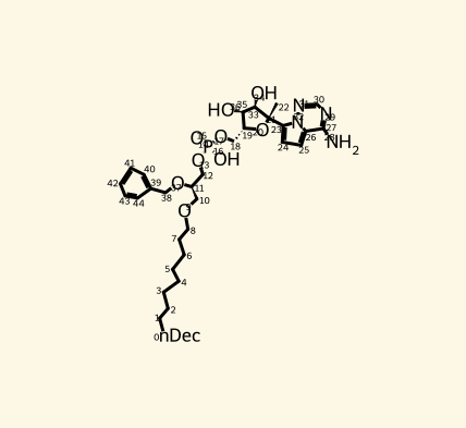 CCCCCCCCCCCCCCCCCCOC[C@H](COP(=O)(O)OC[C@H]1O[C@@](C)(c2ccc3c(N)ncnn23)[C@H](O)[C@@H]1O)OCc1ccccc1